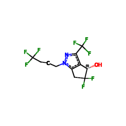 O[C@H]1c2c(C(F)(F)F)nn(CCCC(F)(F)F)c2CC1(F)F